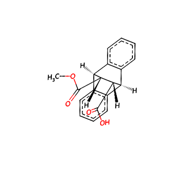 COC(=O)[C@@H]1[C@H]2c3ccccc3[C@H](c3ccccc32)[C@@H]1C(=O)O